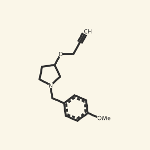 C#CCOC1CCN(Cc2ccc(OC)cc2)C1